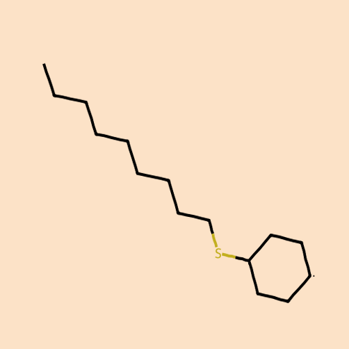 CCCCCCCCCS[C]1CC[CH]CC1